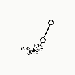 COC(=O)C(CNC(=O)OC(C)(C)C)NC(=O)c1ccc(C#CC#Cc2ccccc2)cc1